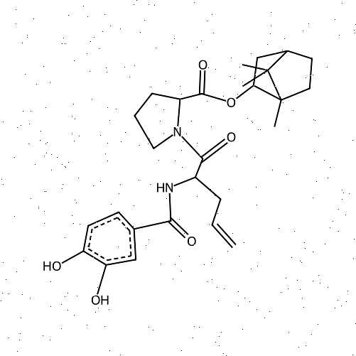 C=CCC(NC(=O)c1ccc(O)c(O)c1)C(=O)N1CCCC1C(=O)OC1CC2CCC1(C)C2(C)C